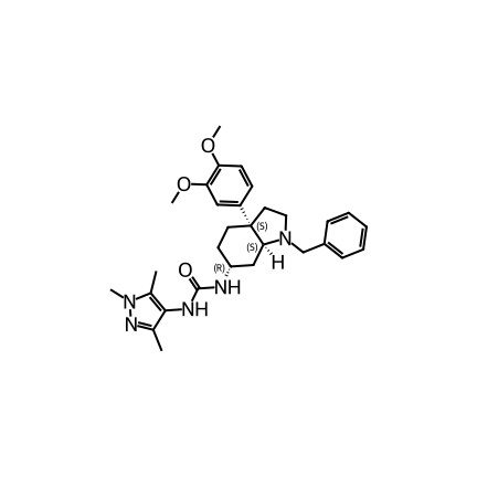 COc1ccc([C@@]23CC[C@@H](NC(=O)Nc4c(C)nn(C)c4C)C[C@@H]2N(Cc2ccccc2)CC3)cc1OC